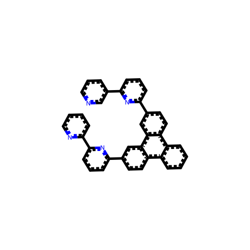 c1ccc(-c2cccc(-c3ccc4c5ccccc5c5ccc(-c6cccc(-c7cccnc7)n6)cc5c4c3)n2)nc1